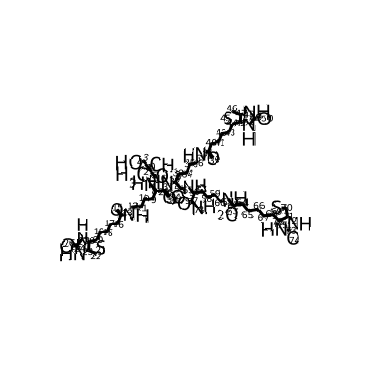 CC(C)(CO)C(=O)NC(CCCCNC(=O)CCCCC1SCC2NC(=O)NC21)C(=O)NC(CCCCNC(=O)CCCCC1SCC2NC(=O)NC21)C(=O)NC(CCCCNC(=O)CCCCC1SCC2NC(=O)NC21)C(N)=O